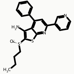 CCCC[S@+]([O-])c1sc2nc(-c3cccnc3)cc(-c3ccccc3)c2c1N